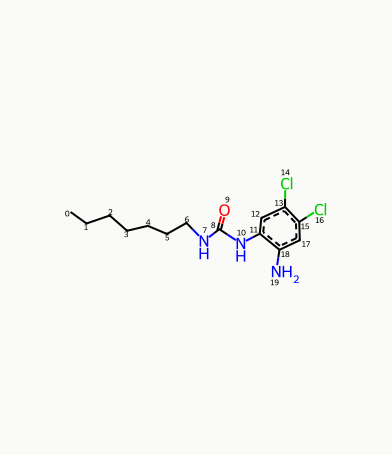 CCCCCCCNC(=O)Nc1cc(Cl)c(Cl)cc1N